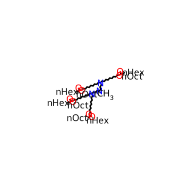 CCCCCCCCC(CCCCCC)C(=O)OCCCCCCCCCN(CCCCCCCCCOC(=O)C(CCCCCC)CCCCCCCC)CCCN(C)CCCN(CCCCCCCCCOC(=O)C(CCCCCC)CCCCCCCC)CCCCCCCCCOC(=O)C(CCCCCC)CCCCCCCC